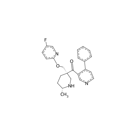 C[C@@H]1CC[C@@](COc2ccc(F)cn2)(C(=O)c2cnccc2-c2ccccc2)CN1